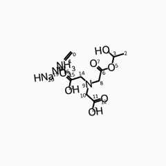 C=C.CC(O)OC(=O)CN(CC(=O)O)CC(=O)O.N.N.[NaH]